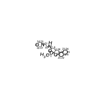 CCOC(=O)C(CC(=O)NCCN1CCOCC1)Cc1cccc2ccccc12